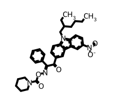 CCCCC(CC)Cn1c2ccc(C(=O)/C(=N/OC(=O)N3CCCCC3)c3ccccc3)cc2c2cc([N+](=O)[O-])ccc21